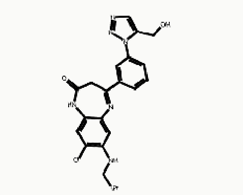 CC(C)CNc1cc2c(cc1Cl)NC(=O)CC(c1cccc(-n3nncc3CO)c1)=N2